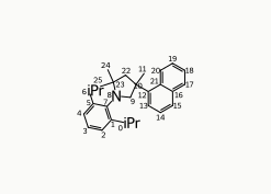 CC(C)c1cccc(C(C)C)c1N1CC(C)(c2cccc3ccccc23)CC1(C)C